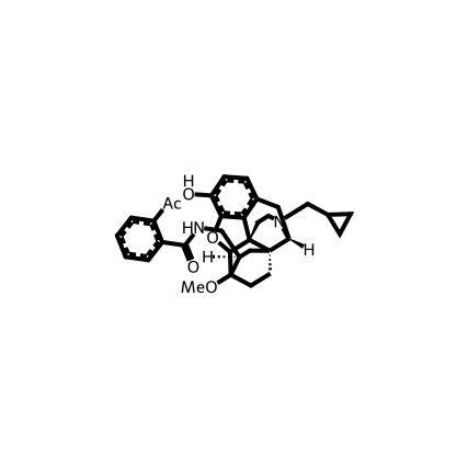 COC12CC[C@@]3(C[C@@H]1CNC(=O)c1ccccc1C(C)=O)[C@H]1Cc4ccc(O)c5c4[C@@]3(CCN1CC1CC1)C2O5